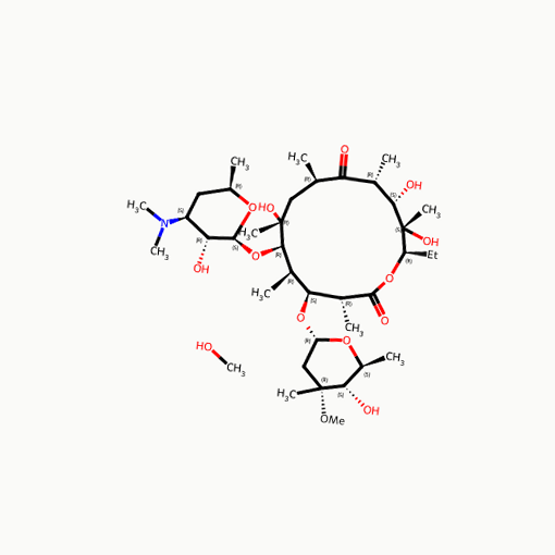 CC[C@H]1OC(=O)[C@H](C)[C@@H](O[C@H]2C[C@@](C)(OC)[C@@H](O)[C@H](C)O2)[C@@H](C)[C@@H](O[C@@H]2O[C@H](C)C[C@H](N(C)C)[C@H]2O)[C@](C)(O)C[C@@H](C)C(=O)[C@H](C)[C@H](O)[C@]1(C)O.CO